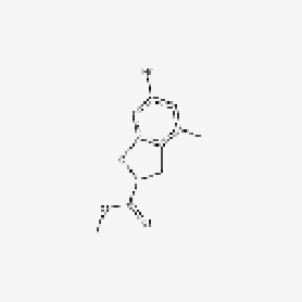 COC(=O)C1Cc2c(C)cc(Br)cc2O1